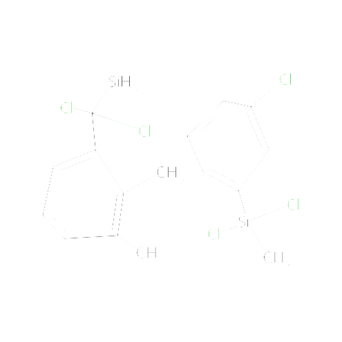 C[Si](Cl)(Cl)c1cccc(Cl)c1.Cc1cccc(C([SiH3])(Cl)Cl)c1C